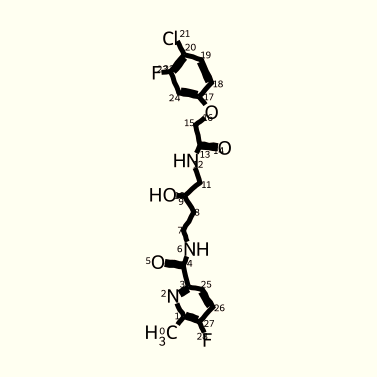 Cc1nc(C(=O)NCCC(O)CNC(=O)COc2ccc(Cl)c(F)c2)ccc1F